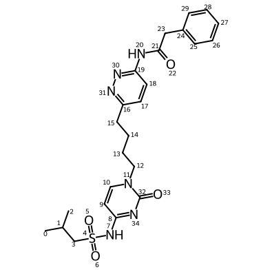 CC(C)CS(=O)(=O)Nc1ccn(CCCCc2ccc(NC(=O)Cc3ccccc3)nn2)c(=O)n1